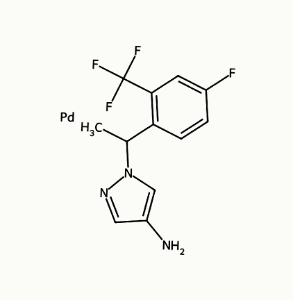 CC(c1ccc(F)cc1C(F)(F)F)n1cc(N)cn1.[Pd]